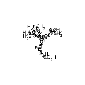 C=C(C)C(=O)OCCOCC(COCCOC(=O)CCCNCC(=O)O)(COCCOC(=O)C(=C)C)COCCOC(=O)C(=C)C